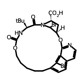 CC(C)(C)[C@@H]1NC(=O)OCCCCCc2ccc3ccnc(c3c2Br)O[C@@H]2C[C@@H](C(=O)O)N(C1=O)C2Br